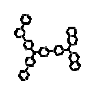 C1=CC(c2ccccc2)CC(c2ccc(N(c3ccc(-c4ccccc4)cc3)c3ccc(-c4ccc(N(c5ccc6ccccc6c5)c5ccc6ccccc6c5)cc4)cc3)cc2)=C1